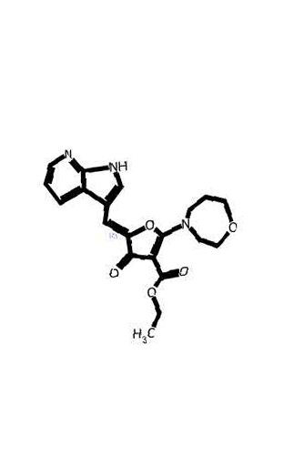 CCOC(=O)C1=C(N2CCCOCC2)O/C(=C\c2c[nH]c3ncccc23)C1=O